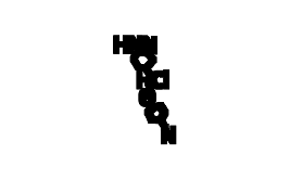 Cl.N#Cc1ccc(OCCCC2CCc3[nH]cnc3C2)cc1